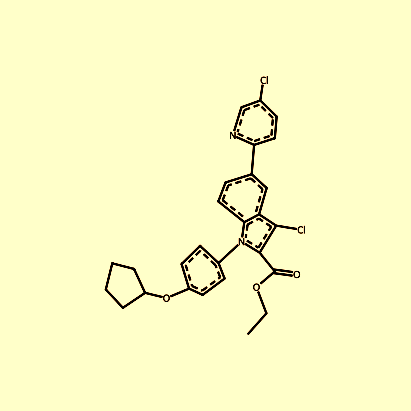 CCOC(=O)c1c(Cl)c2cc(-c3ccc(Cl)cn3)ccc2n1-c1ccc(OC2CCCC2)cc1